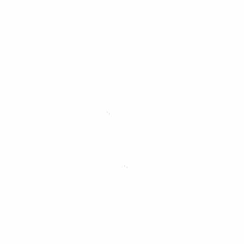 O=C(Nc1ccc(N2CCCCC2)cc1)C(O)c1ccccc1